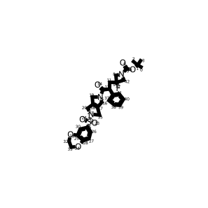 CC(C)(C)OC(=O)N1CC(F)(CC(C(=O)N2CC3=C(C2)CN(S(=O)(=O)c2ccc4c(c2)OCCO4)C3)c2ccccc2)C1